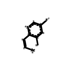 CC(=O)/C=C\c1ncc(F)cc1C